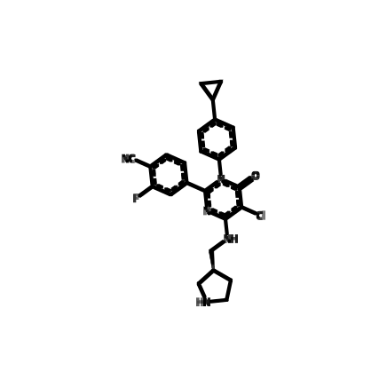 N#Cc1ccc(-c2nc(NC[C@H]3CCNC3)c(Cl)c(=O)n2-c2ccc(C3CC3)cc2)cc1F